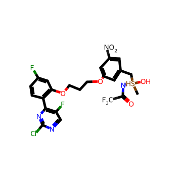 C[SH](O)(Cc1cc(OCCCOc2cc(F)ccc2-c2nc(Cl)ncc2F)cc([N+](=O)[O-])c1)=NC(=O)C(F)(F)F